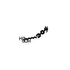 O=P(O)(O)CCCCCCCC[n+]1ccc(-c2ccc(-c3cncs3)cc2)cc1